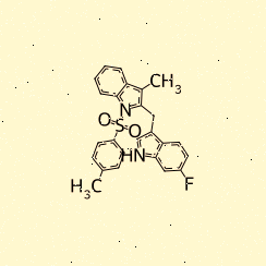 Cc1ccc(S(=O)(=O)n2c(Cc3c[nH]c4cc(F)ccc34)c(C)c3ccccc32)cc1